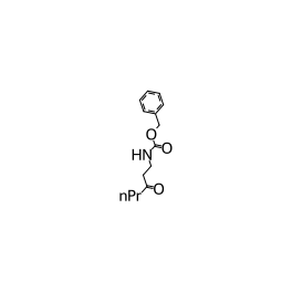 CCCC(=O)CCNC(=O)OCc1ccccc1